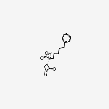 O=C1NC[C@@H]1N(CCCCCc1ccccc1)C(=O)O